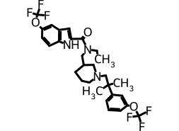 CCN(CC1CCCN(CC(C)(C)c2cccc(OC(F)(F)F)c2)C1)C(=O)c1cc2cc(OC(F)(F)F)ccc2[nH]1